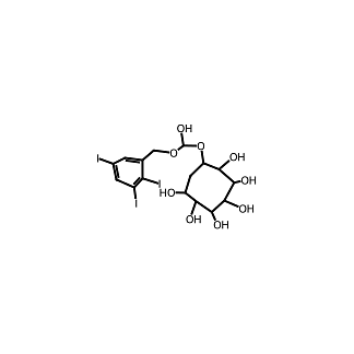 OC(OCc1cc(I)cc(I)c1I)OC1CC(O)C(O)C(O)C(O)C(O)C1O